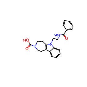 O=C(NCCn1c2c(c3ccccc31)CCN(C(=O)O)CC2)c1ccccc1